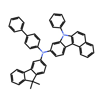 CC1(C)c2ccccc2-c2cc(N(c3ccc(-c4ccccc4)cc3)c3ccc4c5c6ccccc6ccc5n(-c5ccccc5)c4c3)ccc21